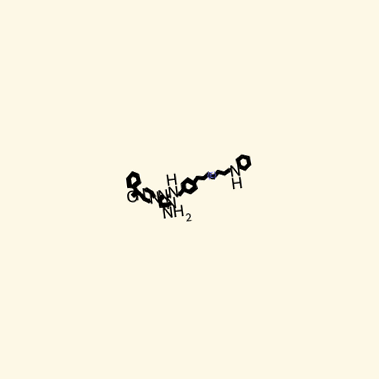 Nc1cc(N2CCN(C(=O)c3ccccc3)CC2)nc(NCc2ccc(CC/C=C/CCCNC3CCCCC3)cc2)n1